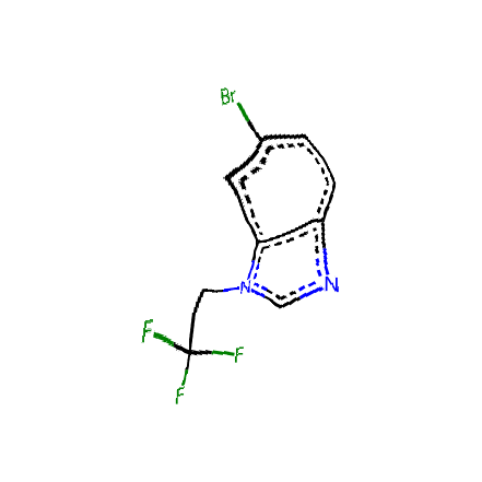 FC(F)(F)Cn1cnc2ccc(Br)cc21